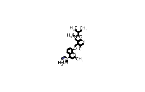 C=CN(/C=C\C)c1cc(C)nc2c(OCc3c(Cl)cncc3CN(C)C(=O)C(CC)CC)cccc12